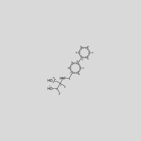 CC(O)C(C)(NCc1ccc(-c2ccccc2)cc1)C(=O)O